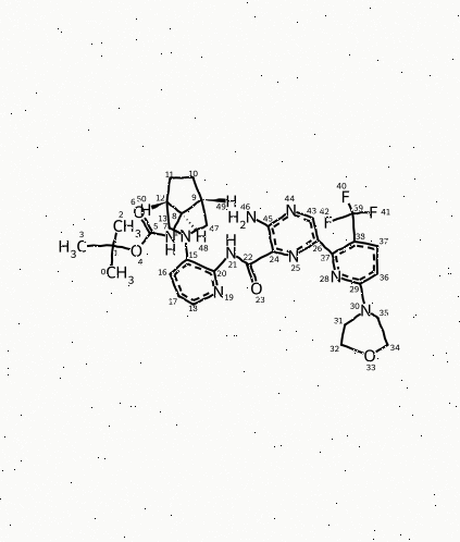 CC(C)(C)OC(=O)N[C@@H]1[C@@H]2CC[C@H]1CN(c1cccnc1NC(=O)c1nc(-c3nc(N4CCOCC4)ccc3C(F)(F)F)cnc1N)C2